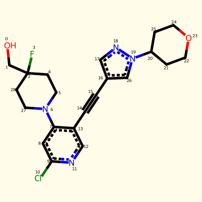 OCC1(F)CCN(c2cc(Cl)ncc2C#Cc2cnn(C3CCOCC3)c2)CC1